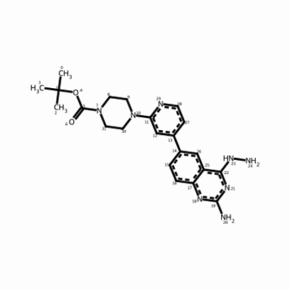 CC(C)(C)OC(=O)N1CCN(c2cc(-c3ccc4nc(N)nc(NN)c4c3)ccn2)CC1